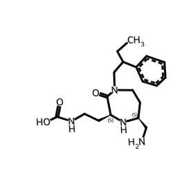 CCC(CN1CC[C@@H](CN)N[C@@H](CCNC(=O)O)C1=O)c1ccccc1